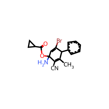 CC1=C(C#N)C(N)(OC(=O)C2CC2)C=C(Br)C1c1ccccc1